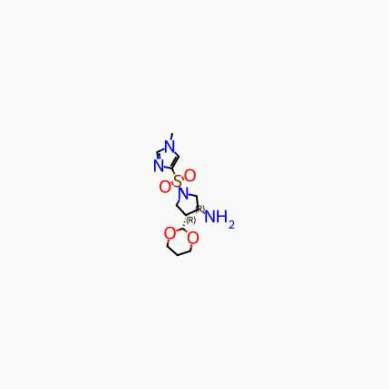 Cn1cnc(S(=O)(=O)N2C[C@H](N)[C@H](C3OCCCO3)C2)c1